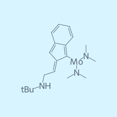 C[N](C)[Mo]([C]1=c2ccccc2=CC1=CCNC(C)(C)C)[N](C)C